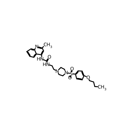 CCCCOc1ccc(S(=O)(=O)N2CCN(CCNC(=O)Nc3cc(C)nc4ccccc34)CC2)cc1